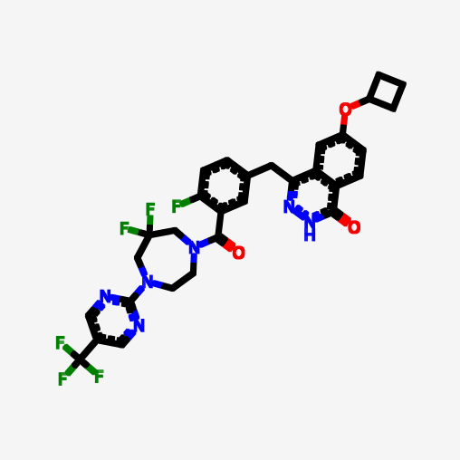 O=C(c1cc(Cc2n[nH]c(=O)c3ccc(OC4CCC4)cc23)ccc1F)N1CCN(c2ncc(C(F)(F)F)cn2)CC(F)(F)C1